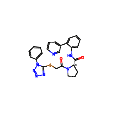 O=C(Nc1ccccc1-c1cccnc1)[C@@H]1CCCN1C(=O)CSc1nnnn1-c1ccccc1